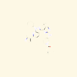 Cc1noc(C)c1-c1ccc2c(-c3nc(N[C@H]4CCCN(C(=O)OC(C)(C)C)C4)ncc3C(F)(F)F)nn(C3CCCCO3)c2n1